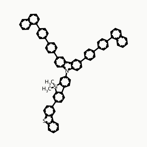 C[Si]1(C)c2cc(-c3ccc4sc5ccccc5c4c3)ccc2-c2ccc(-n3c4ccc(-c5ccc(-c6ccc(-c7cccc8ccccc78)cc6)cc5)cc4c4cc(-c5ccc(-c6ccc(-c7cccc8ccccc78)cc6)cc5)ccc43)cc21